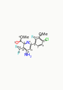 COC(=O)c1nc(-c2ccc(Cl)c(OC)c2F)cc(N)c1C(F)F